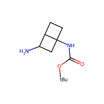 CC(C)(C)OC(=O)NC12CCC1C(N)C2